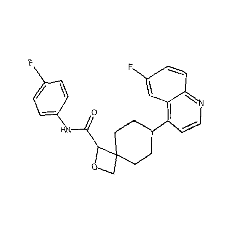 O=C(Nc1ccc(F)cc1)C1OCC12CCC(c1ccnc3ccc(F)cc13)CC2